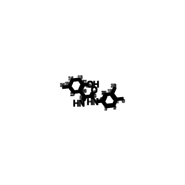 Cc1ccc(NC(=O)C(=N)C2=C(O)CCC(C)C2)cc1C